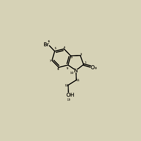 O=C1Cc2cc(Br)ccc2N1CCO